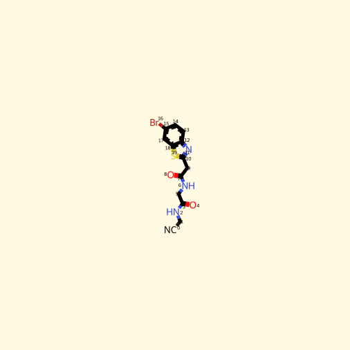 N#CCNC(=O)CNC(=O)Cc1nc2ccc(Br)cc2s1